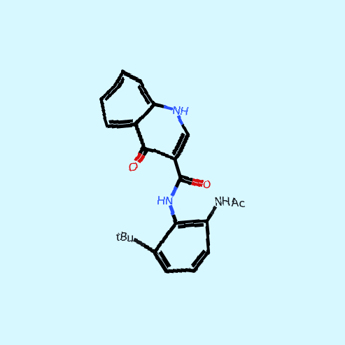 CC(=O)Nc1cccc(C(C)(C)C)c1NC(=O)c1c[nH]c2ccccc2c1=O